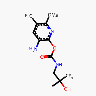 COc1nc(OC(=O)NCC(C)(O)C(F)(F)F)c(N)cc1C(F)(F)F